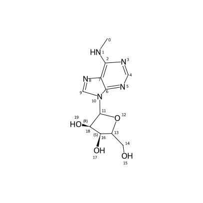 CNc1ncnc2c1ncn2C1OC(CO)[C@@H](O)[C@H]1O